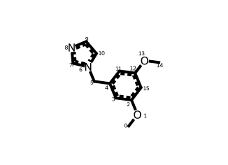 COc1cc(Cn2[c]ncc2)cc(OC)c1